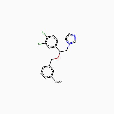 COc1cccc(COC(Cn2ccnc2)c2ccc(F)c(F)c2)c1